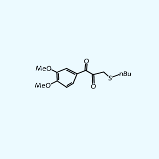 CCCCSCC(=O)C(=O)c1ccc(OC)c(OC)c1